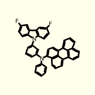 Fc1ccc2c(c1)c1cc(F)ccc1n2-c1cccc(N(c2ccccc2)c2ccc(-c3cccc4cccc(-c5ccccc5)c34)cc2)c1